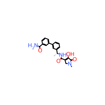 C[C@@H](NC(=O)C1=C(O)C(=O)N(C)C1)c1cccc(-c2cccc(C(N)=O)c2)c1